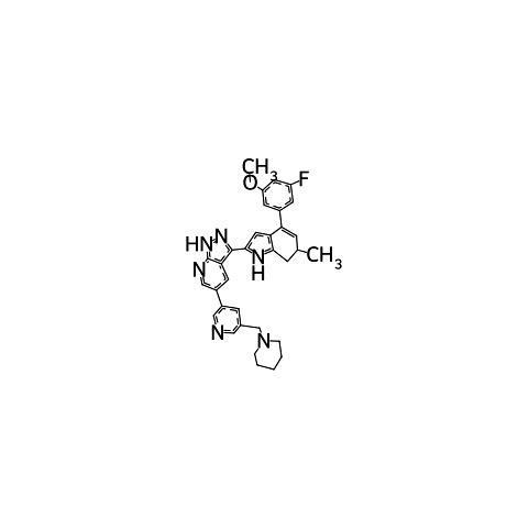 COc1cc(F)cc(C2=CC(C)Cc3[nH]c(-c4n[nH]c5ncc(-c6cncc(CN7CCCCC7)c6)cc45)cc32)c1